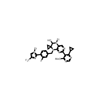 CCN1c2cnc(-c3c(OC)ncnc3C3CC3)nc2N(Cc2ccc(-c3nc(C(F)(F)F)cn3CC)c(F)c2)C2(CC2)C1O